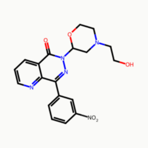 O=c1c2cccnc2c(-c2cccc([N+](=O)[O-])c2)nn1C1CN(CCO)CCO1